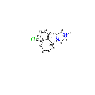 CN1CCN([C@@H]2CCCCc3c(Cl)cccc32)CC1